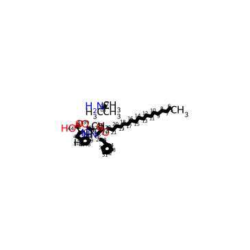 CC(C)(C)N.CCCCCCCCCCCCCCCCCCOC(=O)[C@H](CCc1ccccc1)N[C@@H](C)C(=O)N1[C@H](C(=O)O)C[C@@H]2CCC[C@@H]21